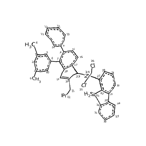 Cc1cc(C)cc(-c2c(-c3ccccc3)ccc3c2C=C(CC(C)C)[CH]3[Zr]([Cl])([Cl])[c]2cccc3c2[SiH2]c2ccccc2-3)c1